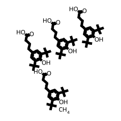 C.CC(C)(C)c1cc(CCCC(=O)O)cc(C(C)(C)C)c1O.CC(C)(C)c1cc(CCCC(=O)O)cc(C(C)(C)C)c1O.CC(C)(C)c1cc(CCCC(=O)O)cc(C(C)(C)C)c1O.CC(C)(C)c1cc(CCCC(=O)O)cc(C(C)(C)C)c1O